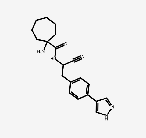 N#CC(Cc1ccc(-c2cn[nH]c2)cc1)NC(=O)C1(N)CCCCCC1